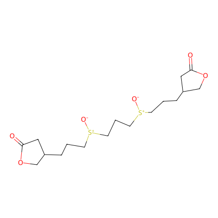 O=C1CC(CCC[S+]([O-])CCC[S+]([O-])CCCC2COC(=O)C2)CO1